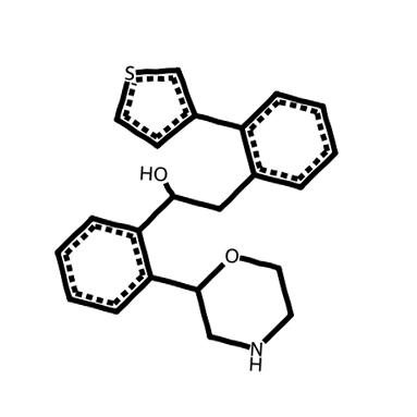 OC(Cc1ccccc1-c1ccsc1)c1ccccc1C1CNCCO1